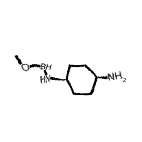 COBN[C@H]1CC[C@@H](N)CC1